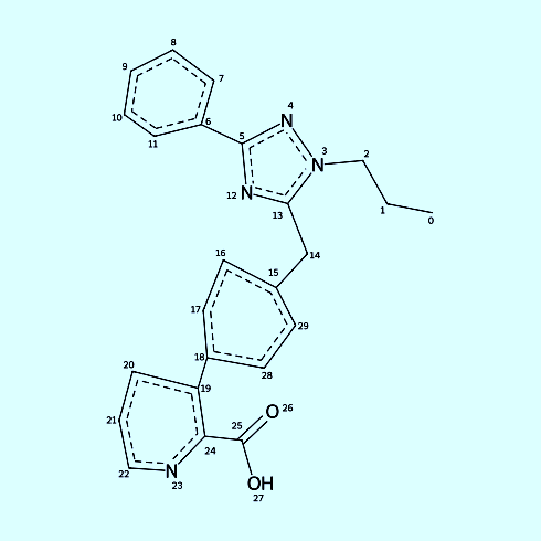 CCCn1nc(-c2ccccc2)nc1Cc1ccc(-c2cccnc2C(=O)O)cc1